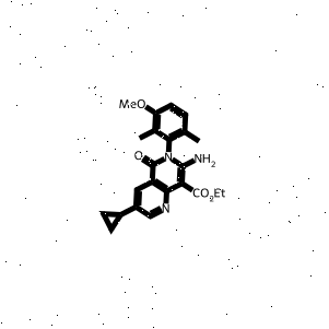 CCOC(=O)c1c(N)n(-c2c(C)ccc(OC)c2C)c(=O)c2cc(C3CC3)cnc12